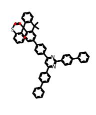 CC1(C)c2ccccc2C2(c3ccccc3Sc3ccccc32)c2ccc(-c3ccc(-c4cc(-c5ccc(-c6ccccc6)cc5)nc(-c5ccc(-c6ccccc6)cc5)n4)cc3)cc21